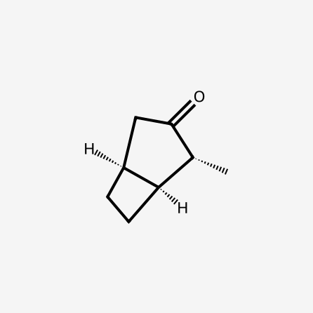 C[C@H]1C(=O)C[C@@H]2CC[C@@H]21